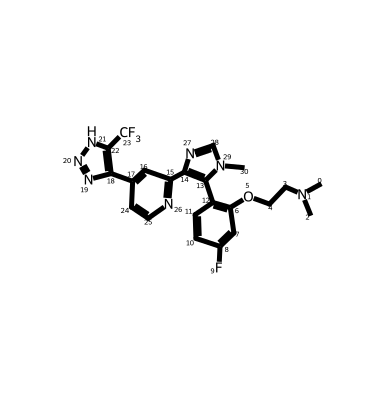 CN(C)CCOc1cc(F)ccc1-c1c(-c2cc(-c3nn[nH]c3C(F)(F)F)ccn2)ncn1C